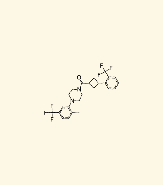 Cc1ccc(C(F)(F)F)cc1N1CCN(C(=O)C2CC(c3ccccc3C(F)(F)F)C2)CC1